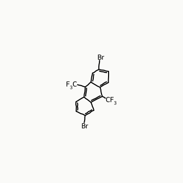 FC(F)(F)c1c2ccc(Br)cc2c(C(F)(F)F)c2ccc(Br)cc12